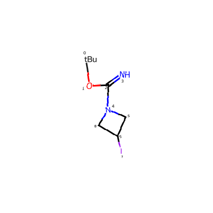 CC(C)(C)OC(=N)N1CC(I)C1